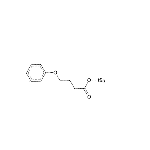 CC(C)(C)OC(=O)CCCOc1c[c]ccc1